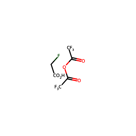 O=C(O)CF.O=C(OC(=O)C(F)(F)F)C(F)(F)F